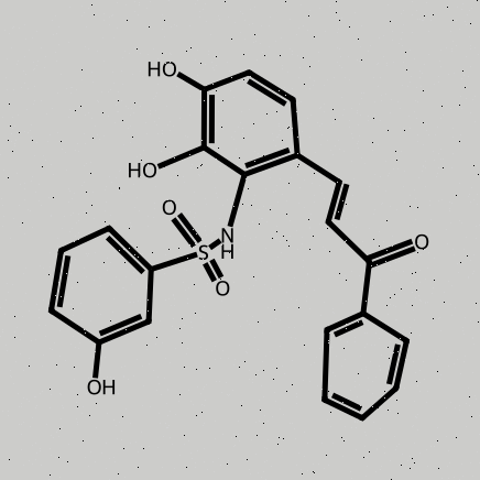 O=C(C=Cc1ccc(O)c(O)c1NS(=O)(=O)c1cccc(O)c1)c1ccccc1